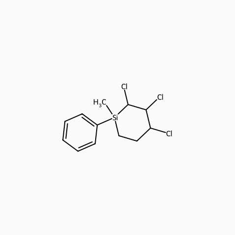 C[Si]1(c2ccccc2)CCC(Cl)C(Cl)C1Cl